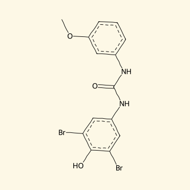 COc1cccc(NC(=O)Nc2cc(Br)c(O)c(Br)c2)c1